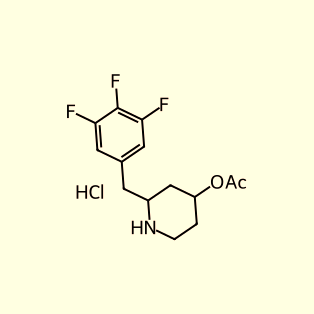 CC(=O)OC1CCNC(Cc2cc(F)c(F)c(F)c2)C1.Cl